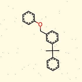 CC(C)(c1ccccc1)c1cccc(COc2ccccc2)c1